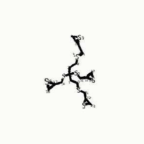 C(CC(CCSCC1CS1)(SCC1CS1)SCC1CS1)SCC1CS1